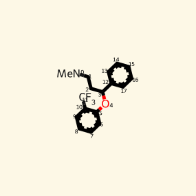 CNCCC(Oc1ccccc1C(F)(F)F)c1ccccc1